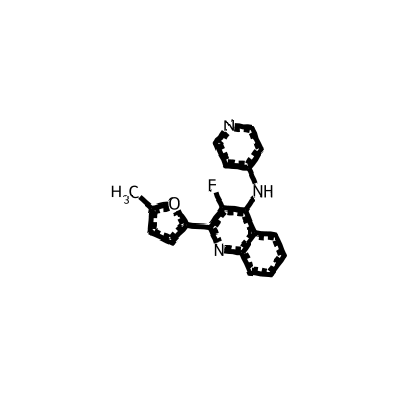 Cc1ccc(-c2nc3ccccc3c(Nc3ccncc3)c2F)o1